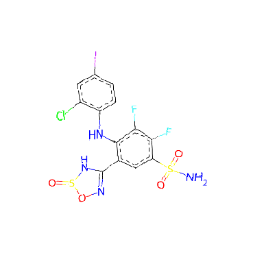 NS(=O)(=O)c1cc(C2=NOS(=O)N2)c(Nc2ccc(I)cc2Cl)c(F)c1F